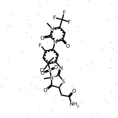 CCS(=O)(=O)[N+]1(C)C(=O)C(CC(N)=O)SC1=Nc1cc(-n2c(=O)cc(C(F)(F)F)n(C)c2=O)c(F)cc1Cl